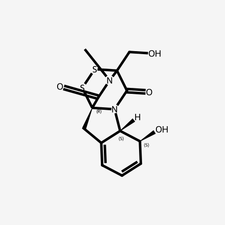 CN1C(=O)[C@]23CC4=CC=C[C@H](O)[C@H]4N2C(=O)C1(CO)SS3